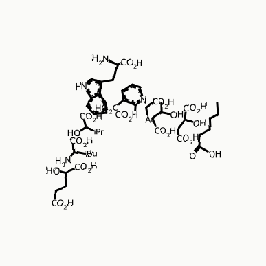 CC(=O)CC(=O)O.CC(C)C(O)C(=O)O.CC(O)CC(=O)O.CCC(C)C(N)C(=O)O.CCCCCC(=O)O.NC(Cc1c[nH]c2ccccc12)C(=O)O.O=C(O)CC(O)C(=O)O.O=C(O)CCC(O)C(=O)O.O=C(O)c1cccnc1C(=O)O